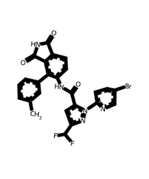 Cc1cccc(-c2c(NC(=O)c3cc(C(F)F)nn3-c3ccc(Br)cn3)ccc3c2C(=O)NC3=O)c1